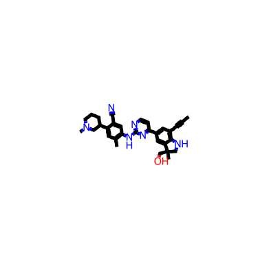 CC#Cc1cc(-c2ccnc(Nc3cc(C#N)c(C4CCCN(C)C4)cc3C)n2)cc2c1NCC2(C)CO